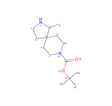 CC1NCCC12CCN(C(=O)OC(C)(C)C)CC2